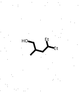 CCC(CC)CC(C)CO